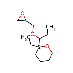 CCC(OCC1CO1)[Si]1(CC)CCCCO1